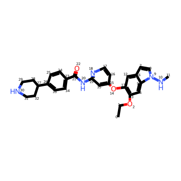 CCOc1cc2c(ccn2NC)cc1Oc1ccnc(NC(=O)c2ccc(C3CCNCC3)cc2)c1